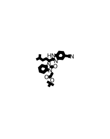 CC(C)CCC(c1nc2cc(C#N)ccc2[nH]1)n1c(=O)n(CC(=O)OC(C)(C)C)c2ccccc21